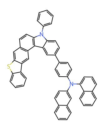 c1ccc(-n2c3ccc(-c4ccc(N(c5ccc6ccccc6c5)c5cccc6ccccc56)cc4)cc3c3c4cc5c(cc4ccc32)sc2ccccc25)cc1